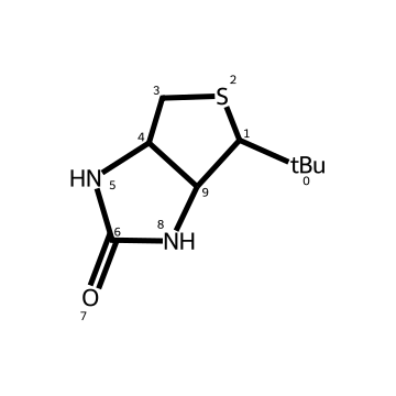 CC(C)(C)C1SCC2NC(=O)NC21